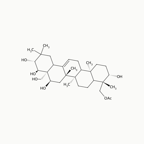 CC(=O)OC[C@]1(C)C2CC[C@]3(C)C(CC=C4C5CC(C)(C)[C@@H](O)[C@H](O)[C@]5(CO)[C@H](O)C[C@]43C)[C@@]2(C)CC[C@@H]1O